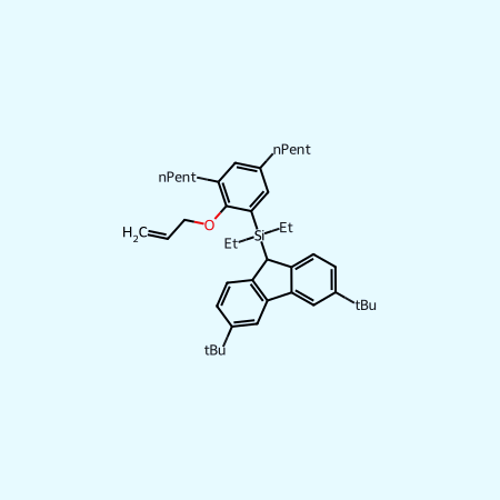 C=CCOc1c(CCCCC)cc(CCCCC)cc1[Si](CC)(CC)C1c2ccc(C(C)(C)C)cc2-c2cc(C(C)(C)C)ccc21